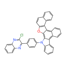 Clc1nc2ccccc2nc1-c1ccc(-n2c3ccccc3c3c4ccccc4c4c(oc5ccc6ccccc6c54)c32)cc1